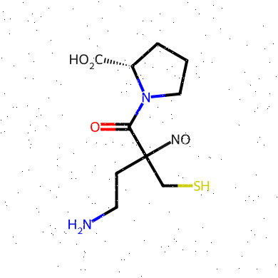 NCCC(CS)(N=O)C(=O)N1CCC[C@H]1C(=O)O